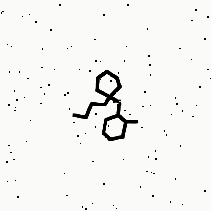 CCCCC1(SC2CCCCC2C)CCCCC1